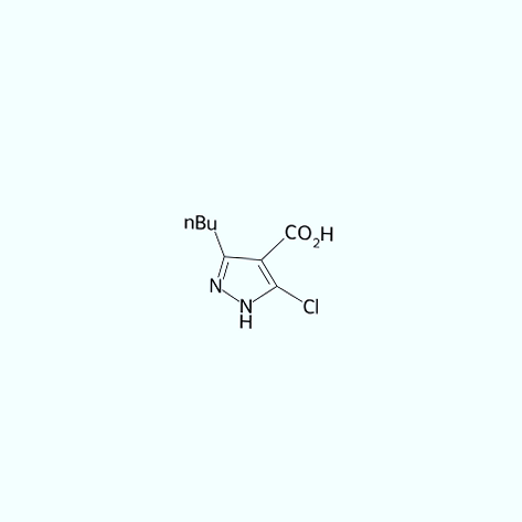 CCCCc1n[nH]c(Cl)c1C(=O)O